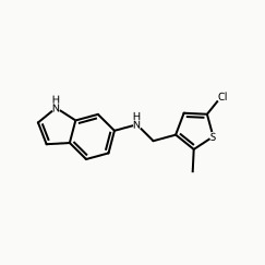 Cc1sc(Cl)cc1CNc1ccc2cc[nH]c2c1